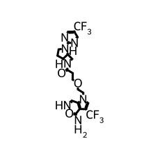 N=Cc1c(C(N)=O)c(C(F)(F)F)cn1CCOCCC(=O)N1C[C@H]2[C@@H]1CCN2c1ncc(C(F)(F)F)cn1